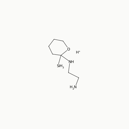 NCCNC1([SiH3])CCCCO1.[H+]